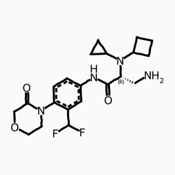 NC[C@H](C(=O)Nc1ccc(N2CCOCC2=O)c(C(F)F)c1)N(C1CCC1)C1CC1